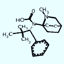 CN1CC2CCC1(N(C(=O)O)[C@H](c1ccccc1)C(C)(C)C)CC2